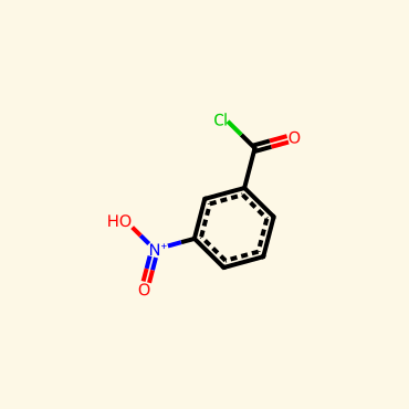 O=C(Cl)c1cccc([N+](=O)O)c1